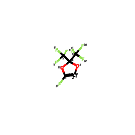 F[C]1=[Cf][O]C(C(F)(F)F)(C(F)(F)F)O1